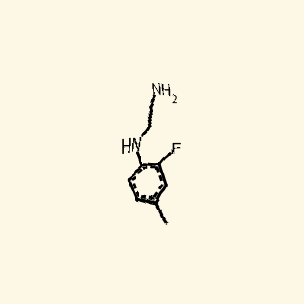 Cc1ccc(NCCN)c(F)c1